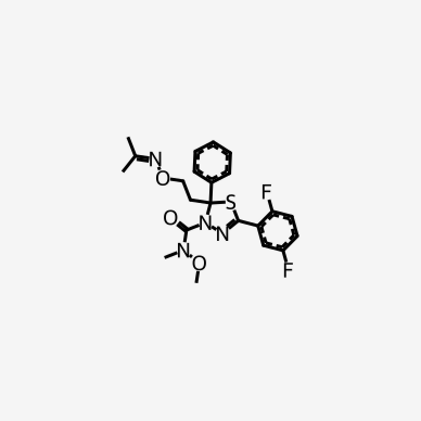 CON(C)C(=O)N1N=C(c2cc(F)ccc2F)SC1(CCON=C(C)C)c1ccccc1